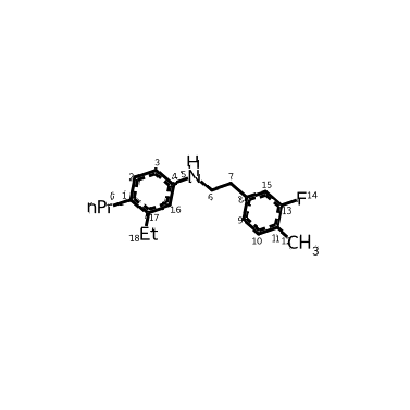 CCCc1ccc(NCCc2ccc(C)c(F)c2)cc1CC